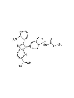 CC(C)(C)OC(=O)N[C@H]1CCc2cc(-n3c(-c4cccnc4N)nc4ccc(B(O)O)nc43)ccc21